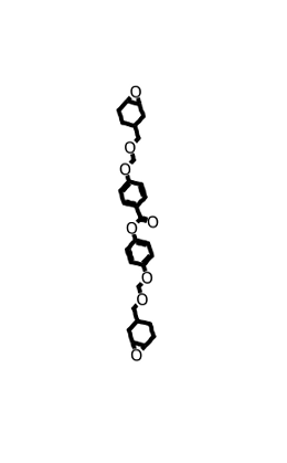 O=C(Oc1ccc(OCOCC2CCC3OC3C2)cc1)c1ccc(OCOCC2CCC3OC3C2)cc1